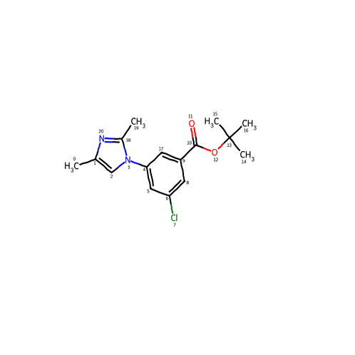 Cc1cn(-c2cc(Cl)cc(C(=O)OC(C)(C)C)c2)c(C)n1